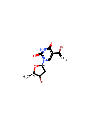 C=C(Br)c1cn([C@H]2CC(Br)[C@@H](C)O2)c(=O)[nH]c1=O